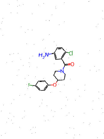 Nc1ccc(Cl)c(C(=O)N2CCC(Oc3ccc(F)cc3)CC2)c1